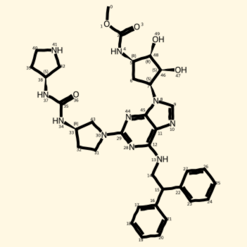 COC(=O)N[C@@H]1C[C@H](n2cnc3c(NCC(c4ccccc4)c4ccccc4)nc(N4CC[C@@H](NC(=O)N[C@H]5CCNC5)C4)nc32)[C@H](O)[C@@H]1O